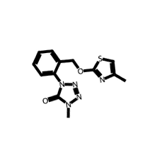 Cc1csc(OCc2ccccc2-n2nnn(C)c2=O)n1